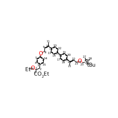 CCOC(=O)C(Cc1ccc(OCC=C(C)c2ccc(-c3ccc(C(C)=CCOC[Si](C)(C)C(C)(C)C)cc3)cc2)cc1)OCC